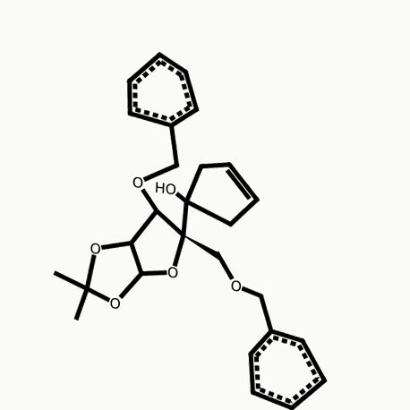 CC1(C)OC2O[C@@](COCc3ccccc3)(C3(O)CC=CC3)C(OCc3ccccc3)C2O1